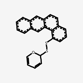 C1=COC(SSc2cccc3ccc4cc5ccccc5cc4c23)C=C1